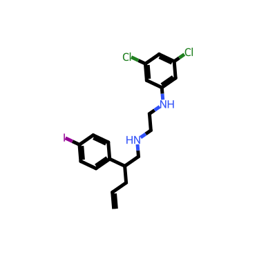 C=CCC(CNCCNc1cc(Cl)cc(Cl)c1)c1ccc(I)cc1